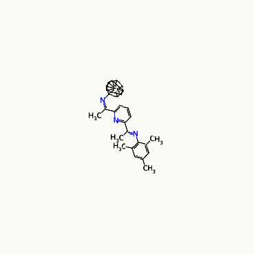 CC(=Nc1c(C)cc(C)cc1C)c1cccc(C(C)=N[C]23[CH]4[CH]5[CH]6[CH]2[Fe]56432789[CH]3[CH]2[CH]7[CH]8[CH]39)n1